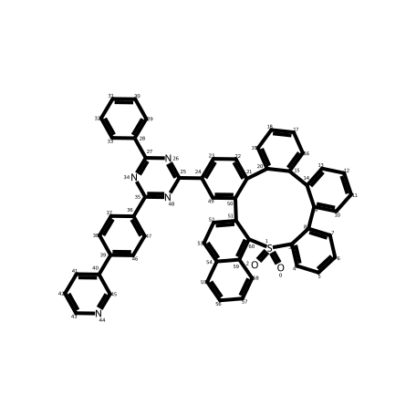 O=S1(=O)c2ccccc2-c2ccccc2-c2ccccc2-c2ccc(-c3nc(-c4ccccc4)nc(-c4ccc(-c5cccnc5)cc4)n3)cc2-c2ccc3ccccc3c21